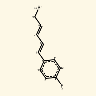 Fc1ccc(C=CC=CCBr)cc1